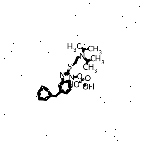 CC(C)N(CCSc1nc2cc(Cc3ccccc3)ccc2n1OP(=O)(O)O)C(C)C